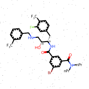 CCCN(CCC)C(=O)c1cc(Br)cc(C(=O)N[C@@H](Cc2ccc(C(F)(F)F)c(F)c2)[C@H](O)CNCc2cccc(C(F)(F)F)c2)c1